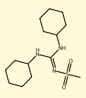 CS(=O)(=O)N=C(NC1CCCCC1)NC1CCCCC1